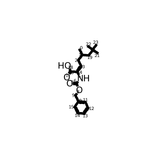 CC(C/C=C(/NC(=O)OCc1ccccc1)C(=O)O)CC(C)(C)C